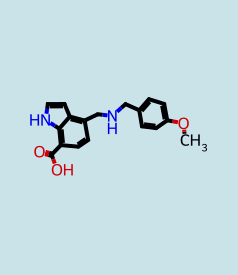 COc1ccc(CNCc2ccc(C(=O)O)c3[nH]ccc23)cc1